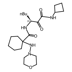 CCCC[C@H](NC(=O)C1(NN2CCOCC2)CCCCC1)C(=O)C(=O)NC1CCC1